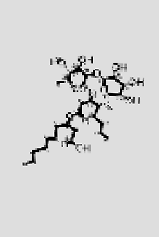 CCCCCCCC(CC(=O)O)OC(=O)CC(CCCCC)O[C@@H]1O[C@@H](C)[C@H](O)[C@@H](O)[C@H]1O[C@@H]1O[C@@H](C)[C@H](O)[C@@H](O)[C@H]1O